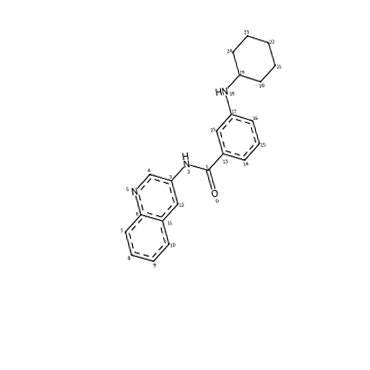 O=C(Nc1cnc2ccccc2c1)c1cccc(NC2CCCCC2)c1